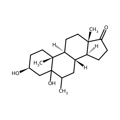 CC1C[C@H]2[C@@H]3CCC(=O)[C@@]3(C)CC[C@@H]2[C@@]2(C)CC[C@H](O)CC12O